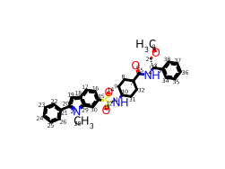 COC[C@@H](NC(=O)C1CCC(NS(=O)(=O)c2ccc3cc(-c4ccccc4)n(C)c3c2)CC1)c1ccccc1